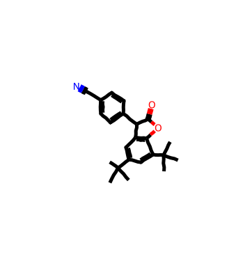 CC(C)(C)c1cc2c(c(C(C)(C)C)c1)OC(=O)C2c1ccc(C#N)cc1